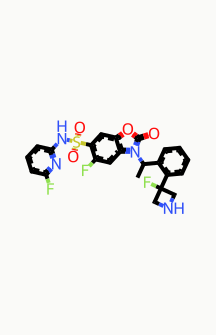 CC(c1ccccc1C1(F)CNC1)n1c(=O)oc2cc(S(=O)(=O)Nc3cccc(F)n3)c(F)cc21